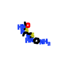 CC(=O)Nc1nc(C)c(-c2csc(Nc3ccc(N)cc3)n2)s1